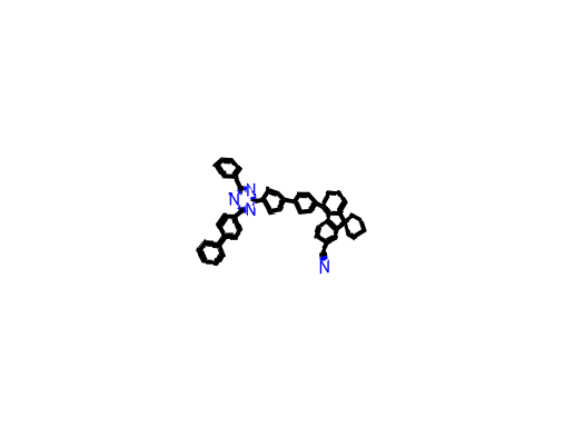 N#Cc1ccc2c(c1)C1(CCCCC1)C1=CCCC(c3ccc(-c4ccc(-c5nc(-c6ccccc6)nc(-c6ccc(-c7ccccc7)cc6)n5)cc4)cc3)=C12